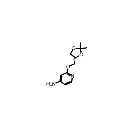 CC1(C)OC[C@H](COc2cc(N)ccn2)O1